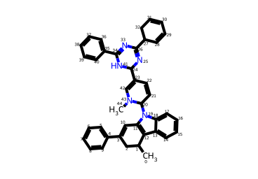 CC1CC(c2ccccc2)=Cc2c1c1ccccc1n2C1C=CC(C2N=C(C3C=CC=CC3)N=C(c3ccccc3)N2)=CN1C